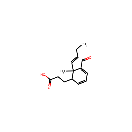 CCC=CC1(C)C(C=O)=CC=CC1CCC(=O)O